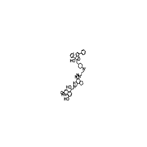 CN(CCCn1nnc2cc(CNC[C@H](O)c3ccc(O)c4[nH]c(=O)ccc34)c3c(c21)CCC3)[C@H]1CC[C@H](CC(=O)[C@@](O)(c2cccs2)c2ccc(-c3ccccc3)s2)CC1